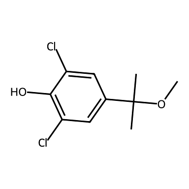 COC(C)(C)c1cc(Cl)c(O)c(Cl)c1